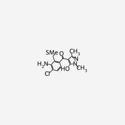 CSCc1c(C(=O)c2c(C)nn(C)c2O)ccc(Cl)c1N